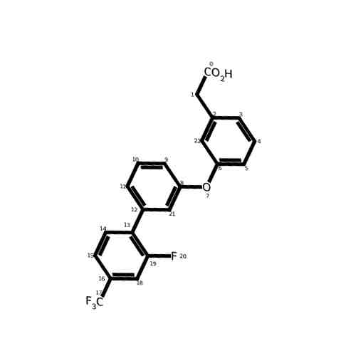 O=C(O)Cc1cccc(Oc2cccc(-c3ccc(C(F)(F)F)cc3F)c2)c1